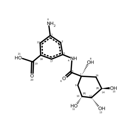 Nc1cc(NC(=O)[C@]2(O)C[C@@H](O)[C@@H](O)[C@H](O)C2)cc(C(=O)O)c1